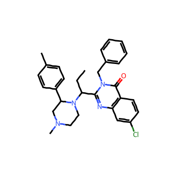 CCC(c1nc2cc(Cl)ccc2c(=O)n1Cc1ccccc1)N1CCN(C)CC1c1ccc(C)cc1